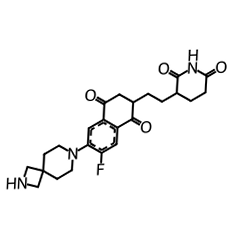 O=C1CCC(CCC2CC(=O)c3cc(N4CCC5(CC4)CNC5)c(F)cc3C2=O)C(=O)N1